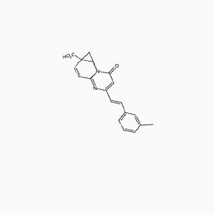 Cc1cccc(/C=C/c2cc(=O)n3c(n2)C=CC2(C(=O)O)CC32)c1